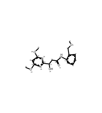 COCc1ccccc1NC(=O)CC(O)c1nc(OC)cc(OC)n1